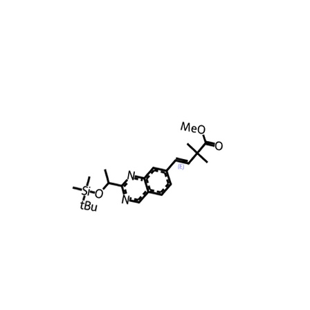 COC(=O)C(C)(C)/C=C/c1ccc2cnc(C(C)O[Si](C)(C)C(C)(C)C)nc2c1